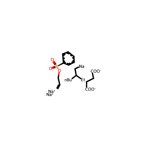 C=CCOS(=O)(=O)c1ccccc1.CCCCC(CC)[CH2][Na].O=C([O-])CCC(=O)[O-].[Na+].[Na+]